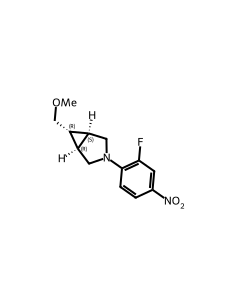 COC[C@@H]1[C@H]2CN(c3ccc([N+](=O)[O-])cc3F)C[C@@H]12